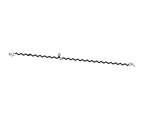 CCCCCCC=CCCCCCCCCCCCC(=O)OCCCCCCCCCCCCCCCCCCCCCCCCCCCCC